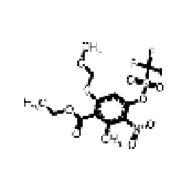 CCOC(=O)c1c(OCOC)cc(OS(=O)(=O)C(F)(F)F)c([N+](=O)[O-])c1C